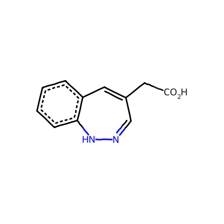 O=C(O)CC1=Cc2ccccc2NN=C1